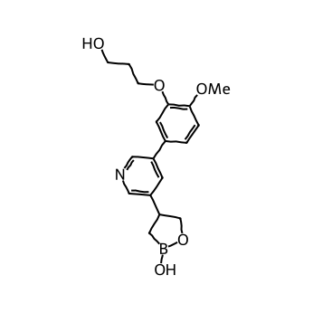 COc1ccc(-c2cncc(C3COB(O)C3)c2)cc1OCCCO